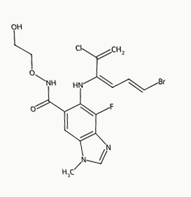 C=C(Cl)/C(=C\C=C\Br)Nc1c(C(=O)NOCCO)cc2c(ncn2C)c1F